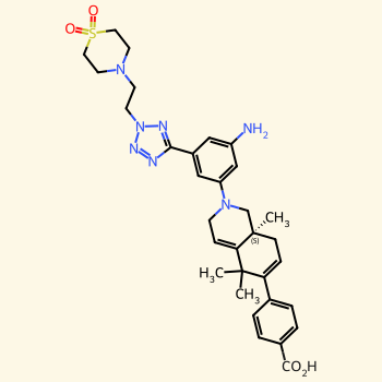 CC1(C)C(c2ccc(C(=O)O)cc2)=CC[C@]2(C)CN(c3cc(N)cc(-c4nnn(CCN5CCS(=O)(=O)CC5)n4)c3)CC=C12